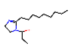 CCCCCCCCCC1=NCCN1C(O)CC